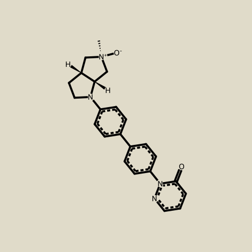 C[N@@+]1([O-])C[C@H]2CCN(c3ccc(-c4ccc(-n5ncccc5=O)cc4)cc3)[C@H]2C1